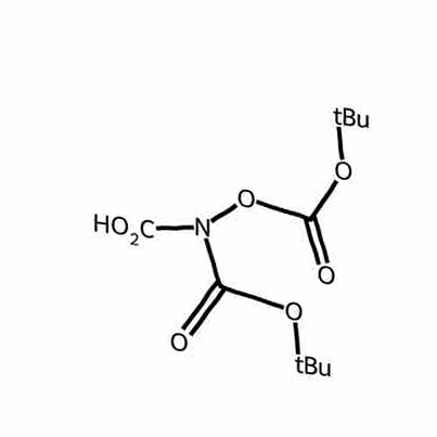 CC(C)(C)OC(=O)ON(C(=O)O)C(=O)OC(C)(C)C